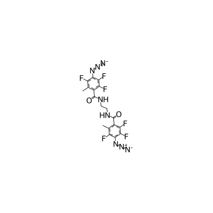 Cc1c(F)c(N=[N+]=[N-])c(F)c(F)c1C(=O)NCCNC(=O)c1c(C)c(F)c(N=[N+]=[N-])c(F)c1F